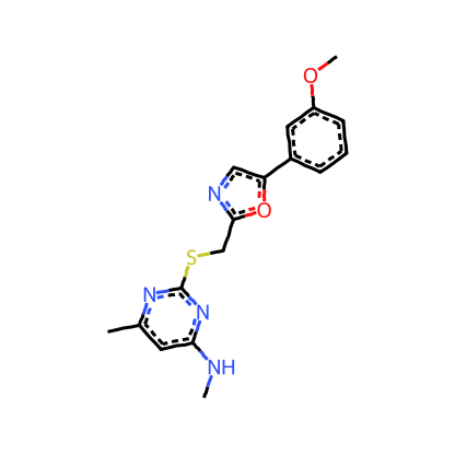 CNc1cc(C)nc(SCc2ncc(-c3cccc(OC)c3)o2)n1